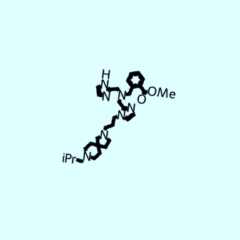 COC(=O)c1ccccc1CN(Cc1ncc[nH]1)Cc1nccn1CCCN1CCC2(CCN(CC(C)C)CC2)C1